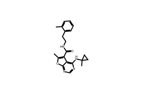 Cc1ccccc1CCNC(=O)c1c(C)oc2ncnc(NC3(C)CC3)c12